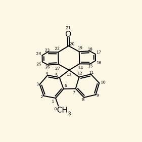 Cc1cccc2c1-c1ccccc1C21c2ccccc2C(=O)c2ccccc21